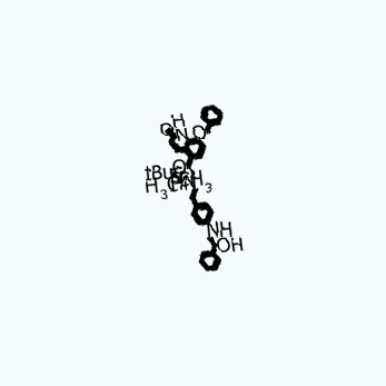 CC(C)(C)[Si](C)(C)O[C@H](CNCCc1ccc(NC[C@H](O)c2ccccc2)cc1)c1ccc(OCc2ccccc2)c2[nH]c(=O)ccc12